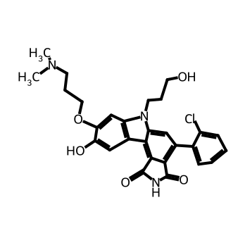 CN(C)CCCOc1cc2c(cc1O)c1c3c(c(-c4ccccc4Cl)cc1n2CCCO)C(=O)NC3=O